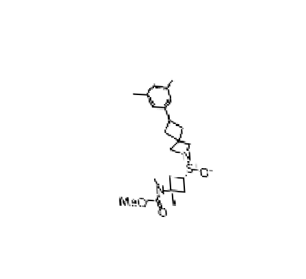 COC(=O)N(C)[C@]1(C)C[C@H]([S+]([O-])N2CC3(CC(c4cc(C)cc(C)c4)C3)C2)C1